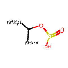 CCCCCCCC(CCCCCC)OS(=O)O